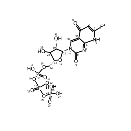 O=c1cc(F)[nH]c2nc(=O)n([C@@H]3O[C@H](COP(=O)(O)OP(=O)(O)OP(=O)(O)O)C(O)[C@@H]3O)cc12